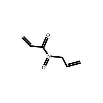 C=CC[N+](=O)C(=O)C=C